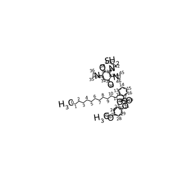 CCCCCCCCCCCCc1ccccc1S(=O)(=O)Oc1ccc(OC)cc1.O=C1C=C(N2CC2)C(=O)C(N2CC2)=C1N1CC1.S